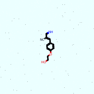 N#C/C(C=N)=C\c1ccc(OCCO)cc1